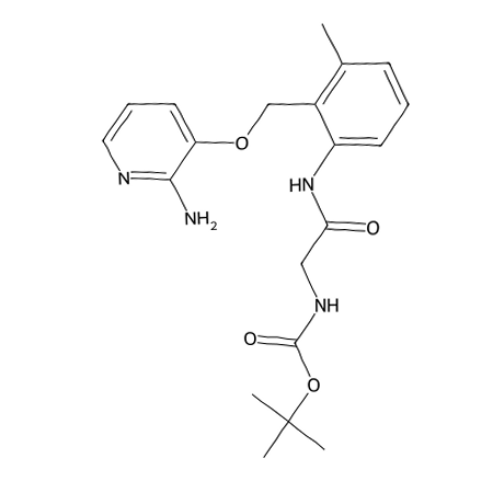 Cc1cccc(NC(=O)CNC(=O)OC(C)(C)C)c1COc1cccnc1N